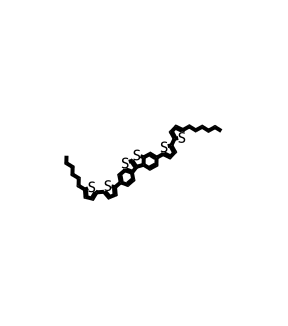 CCCCCCc1ccc(-c2ccc(C3=CC4Sc5sc6cc(-c7ccc(-c8ccc(CCCCCC)s8)s7)ccc6c5C4C=C3)s2)s1